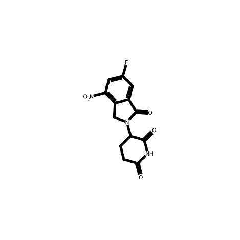 O=C1CCC(N2Cc3c(cc(F)cc3[N+](=O)[O-])C2=O)C(=O)N1